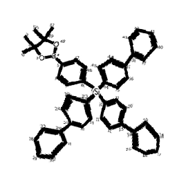 CC1(C)OB(c2ccc([Si](c3ccc(-c4ccccc4)cc3)(c3ccc(-c4ccccc4)cc3)c3ccc(-c4ccccc4)cc3)cc2)OC1(C)C